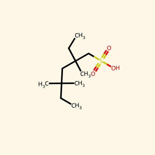 CCC(C)(C)CC(C)(CC)CS(=O)(=O)O